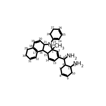 CC12C=C(C(N)C3CC=CCC3N)C=CC1C1C3=C(C=CC1N2C1=CC=CCC1)CCC=C3